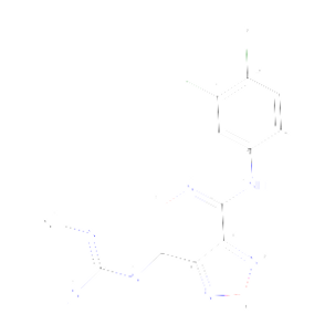 N#CN=C(N)NCc1nonc1C(=NO)Nc1ccc(F)c(Cl)c1